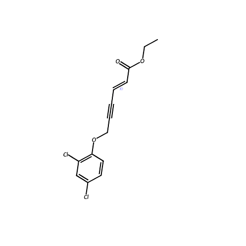 CCOC(=O)/C=C/C#CCOc1ccc(Cl)cc1Cl